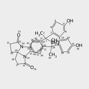 CC(C)(c1ccc(O)cc1)c1ccc(N2C(=O)CCC23CCC(=O)N3c2ccc(C(C)(C)c3ccc(O)cc3)cc2)cc1